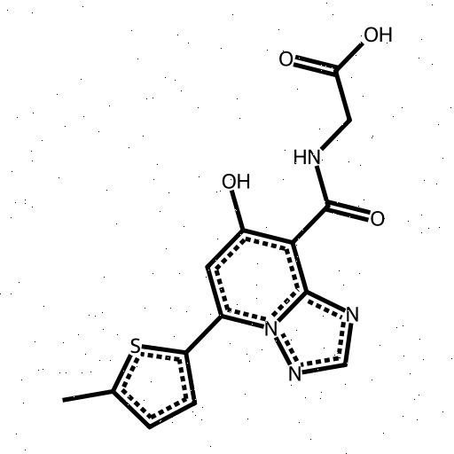 Cc1ccc(-c2cc(O)c(C(=O)NCC(=O)O)c3ncnn23)s1